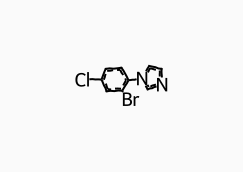 Clc1ccc(-n2ccnc2)c(Br)c1